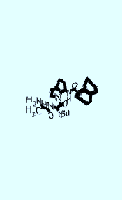 C[C@H](N)C(=O)NC(C(=O)N1CCC2CCC(NC(=O)c3cccc4ccccc34)C21)C(C)(C)C